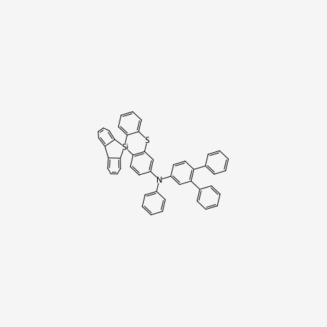 c1ccc(-c2ccc(N(c3ccccc3)c3ccc4c(c3)Sc3ccccc3[Si]43c4ccccc4-c4ccccc43)cc2-c2ccccc2)cc1